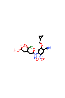 N#Cc1cc([N+](=O)[O-])c(NC(=O)C[C](CC(=O)O)C(=O)Cl)cc1OCC1CC1